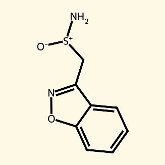 N[S+]([O-])Cc1noc2ccccc12